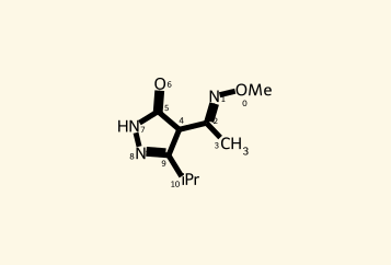 CON=C(C)C1C(=O)NN=C1C(C)C